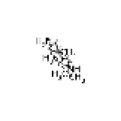 C=C(C)Nc1ccc(C(C)(C)c2ccc(N)cc2)cc1